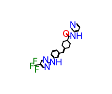 O=C(Nc1cccnc1)C1CCC(=Cc2cccc(Nc3ncc(C(F)(F)F)cn3)c2)CC1